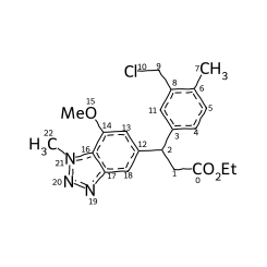 CCOC(=O)CC(c1ccc(C)c(CCl)c1)c1cc(OC)c2c(c1)nnn2C